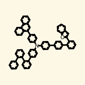 c1ccc(-c2ccccc2-c2ccccc2-c2ccc(N(c3ccc(-c4ccc(-c5ccccc5-c5cc6ccccc6o5)cc4)cc3)c3ccc(-c4cc5ccccc5c5ccccc45)cc3)cc2)cc1